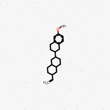 C=CC1CCC2CC(C3CCc4cc(OCCC)ccc4C3)CCC2C1